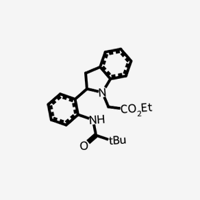 CCOC(=O)CN1c2ccccc2CC1c1ccccc1NC(=O)C(C)(C)C